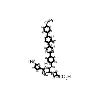 CC(C)Oc1ccc(-c2ccc(-c3cnc(-c4ccc(C[C@H](NC(=O)c5ccc(C(C)(C)C)s5)C(O)N5CC(C(=O)O)C5)cc4)nc3)c(F)c2)cc1